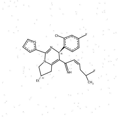 CC[C@H]1CC2=C(C(=N)/C=C\CC(C)F)[C@H](c3ccc(F)cc3Cl)N=C(c3cccs3)N2C1